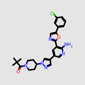 CC(C)(C)C(=O)N1CCC(n2cc(-c3cnc(N)c(-c4ncc(-c5cccc(Cl)c5)o4)c3)cn2)CC1